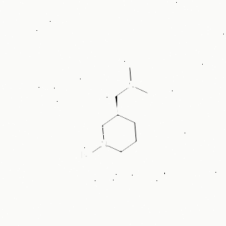 CN(C)C[C@H]1CCCN(C(C)(C)C)C1